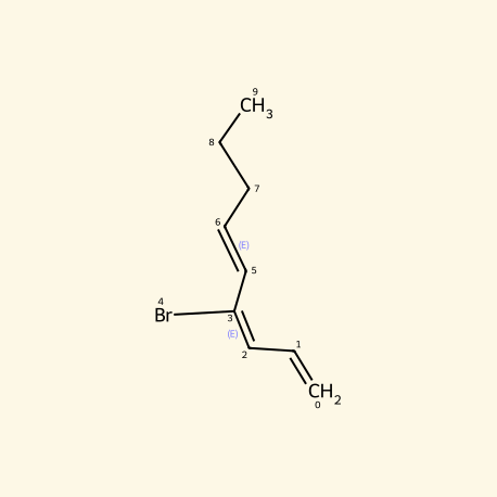 C=C/C=C(Br)\C=C\CCC